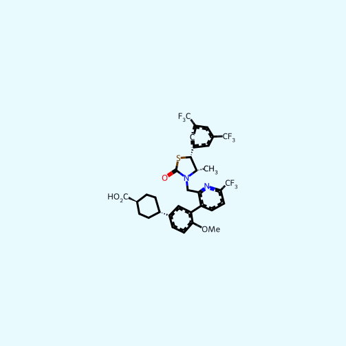 COc1ccc([C@H]2CC[C@H](C(=O)O)CC2)cc1-c1ccc(C(F)(F)F)nc1CN1C(=O)S[C@H](c2cc(C(F)(F)F)cc(C(F)(F)F)c2)[C@@H]1C